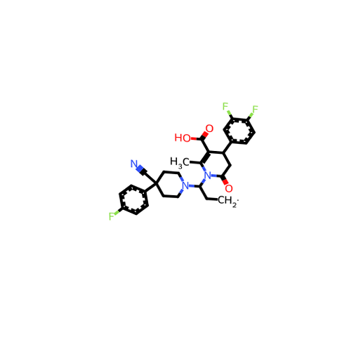 [CH2]CC(N1CCC(C#N)(c2ccc(F)cc2)CC1)N1C(=O)CC(c2ccc(F)c(F)c2)C(C(=O)O)=C1C